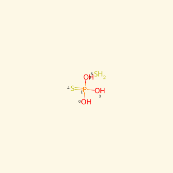 OP(O)(O)=S.S